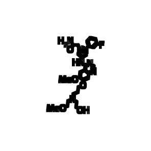 COCCN(CCO)CCCOc1cc2ncnc(NC3=CN(CC(N)=O)N(c4cccc(F)c4)C3)c2cc1OC